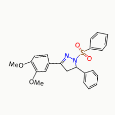 COc1ccc(C2=NN(S(=O)(=O)c3ccccc3)C(c3ccccc3)C2)cc1OC